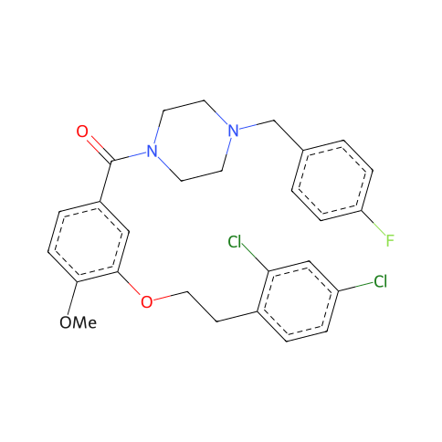 COc1ccc(C(=O)N2CCN(Cc3ccc(F)cc3)CC2)cc1OCCc1ccc(Cl)cc1Cl